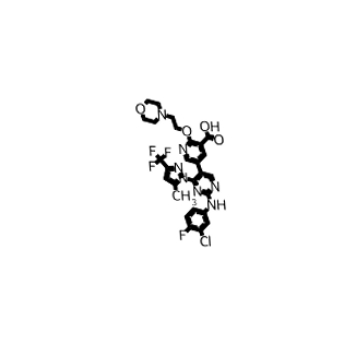 Cc1cc(C(F)(F)F)nn1-c1nc(Nc2ccc(F)c(Cl)c2)ncc1-c1cnc(OCCN2CCOCC2)c(C(=O)O)c1